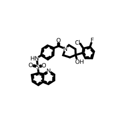 O=C(c1ccc(NS(=O)(=O)c2cccc3cccnc23)cc1)N1CCC(O)(c2cccc(F)c2Cl)CC1